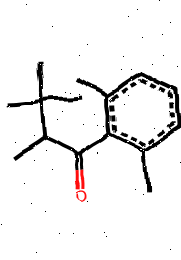 Cc1cccc(C)c1C(=O)C(C)C(C)(C)C